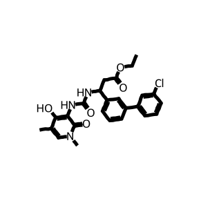 CCOC(=O)CC(NC(=O)Nc1c(O)c(C)cn(C)c1=O)c1cccc(-c2cccc(Cl)c2)c1